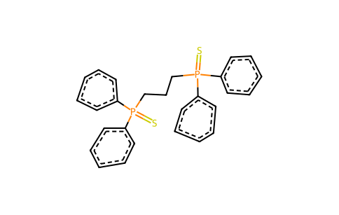 S=P(CCCP(=S)(c1ccccc1)c1ccccc1)(c1ccccc1)c1ccccc1